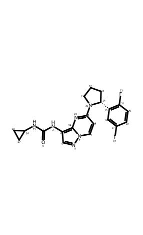 O=C(Nc1cnn2ccc(N3CCC[C@@H]3c3cc(F)ccc3F)nc12)NC1CC1